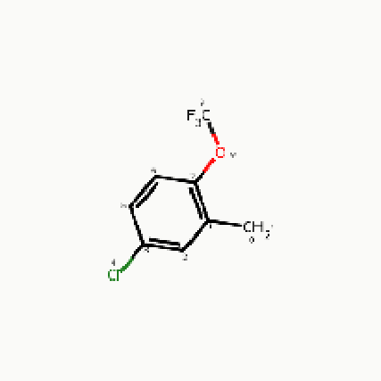 [CH2]c1cc(Cl)ccc1OC(F)(F)F